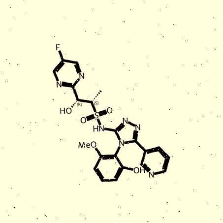 COc1cccc(O)c1-n1c(NS(=O)(=O)[C@@H](C)[C@H](O)c2ncc(F)cn2)nnc1C1=C=C=CN=C1